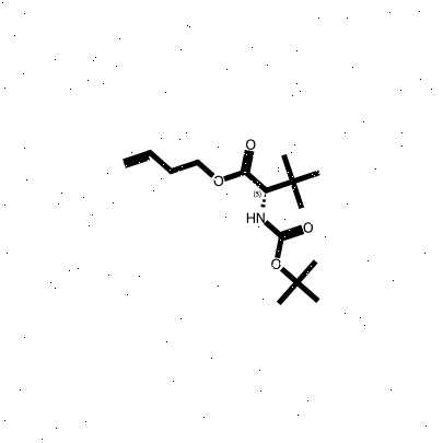 C=CCCOC(=O)[C@@H](NC(=O)OC(C)(C)C)C(C)(C)C